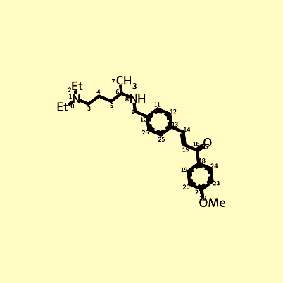 CCN(CC)CCCC(C)NCc1ccc(C=CC(=O)c2ccc(OC)cc2)cc1